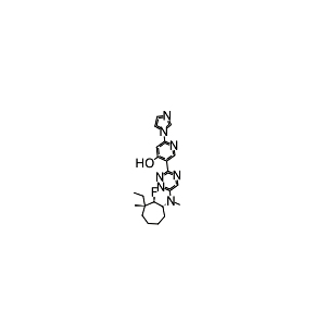 CC[C@@]1(C)CCCC[C@@H](N(C)c2cnc(-c3cnc(-n4ccnc4)cc3O)nn2)[C@@H]1F